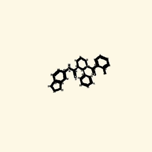 Cc1ccccc1C(=O)N1CCC[C@H](C(=O)Nc2ccc3c(c2)CCC3)[C@@H]1c1ccccc1